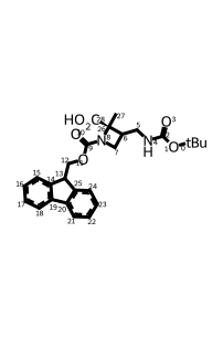 CC(C)(C)OC(=O)NCC1CN(C(=O)OCC2c3ccccc3-c3ccccc32)[C@@]1(C)C(=O)O